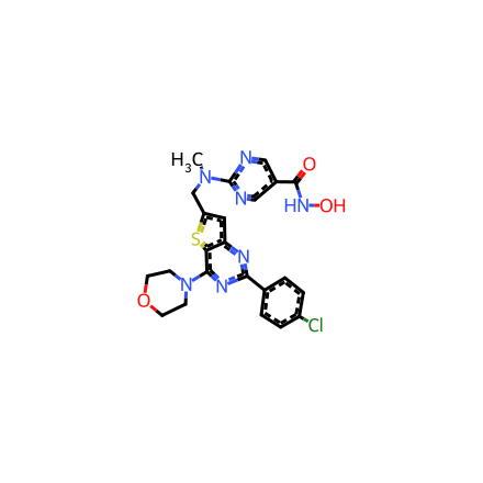 CN(Cc1cc2nc(-c3ccc(Cl)cc3)nc(N3CCOCC3)c2s1)c1ncc(C(=O)NO)cn1